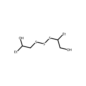 CCC(O)CSSSC(CC)CO